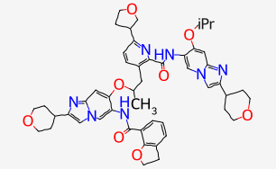 CC(C)Oc1cc2nc(C3CCOCC3)cn2cc1NC(=O)c1nc(C2CCOC2)ccc1CC(C)Oc1cc2nc(C3CCOCC3)cn2cc1NC(=O)c1cccc2c1OCC2